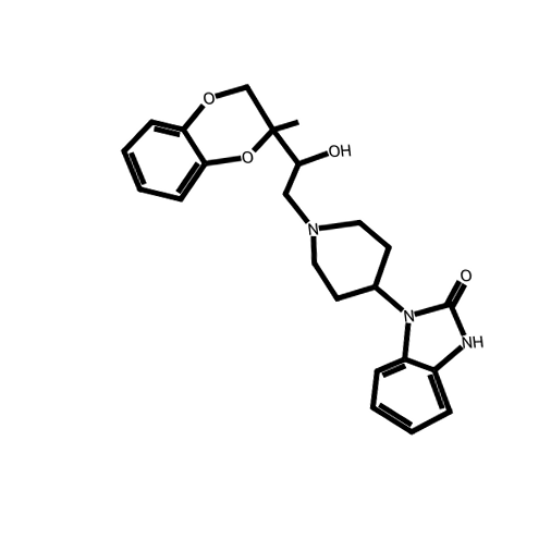 CC1(C(O)CN2CCC(n3c(=O)[nH]c4ccccc43)CC2)COc2ccccc2O1